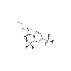 CCCNC(=O)c1ccc(C(F)(F)F)cc1C(F)(F)F